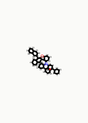 c1ccc(-c2ccc(N(c3ccccc3-c3ccccc3)c3cccc4oc5c(-c6ccc7ccccc7c6)c6ccccc6cc5c34)cc2)cc1